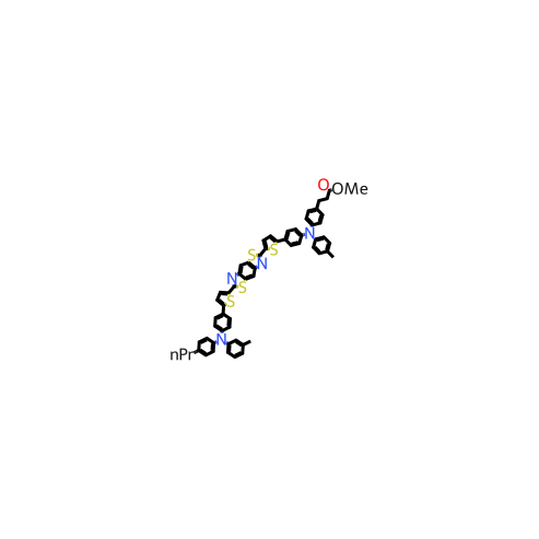 CCCc1ccc(N(c2ccc(-c3ccc(-c4nc5cc6sc(-c7ccc(-c8ccc(N(c9ccc(C)cc9)c9ccc(CCC(=O)OC)cc9)cc8)s7)nc6cc5s4)s3)cc2)c2cccc(C)c2)cc1